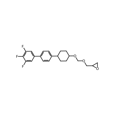 Fc1cc(-c2ccc(C3CCC(OCOCC4CO4)CC3)cc2)cc(F)c1F